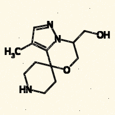 Cc1cnn2c1C1(CCNCC1)OCC2CO